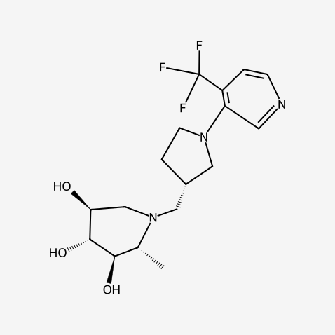 C[C@@H]1[C@@H](O)[C@H](O)[C@@H](O)CN1C[C@@H]1CCN(c2cnccc2C(F)(F)F)C1